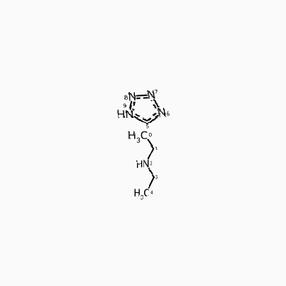 CCNCC.c1nnn[nH]1